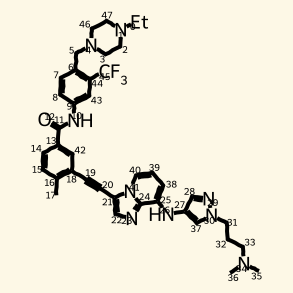 CCN1CCN(Cc2ccc(NC(=O)c3ccc(C)c(C#Cc4cnc5c(Nc6cnn(CCCN(C)C)c6)cccn45)c3)cc2C(F)(F)F)CC1